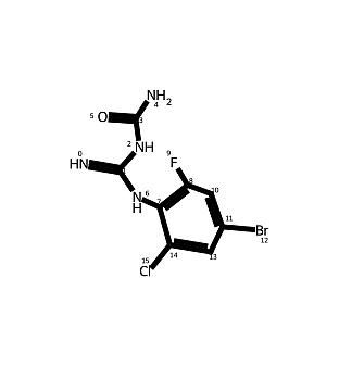 N=C(NC(N)=O)Nc1c(F)cc(Br)cc1Cl